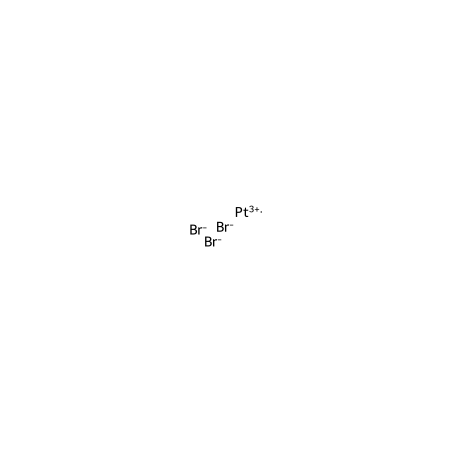 [Br-].[Br-].[Br-].[Pt+3]